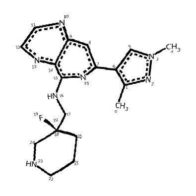 Cc1nn(C)cc1-c1cc2nccnc2c(NC[C@]2(F)CCCNC2)n1